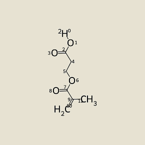 [2H]OC(=O)CCOC(=O)C(=C)C